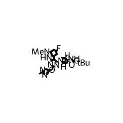 CNc1cc(F)cc2c1[nH]c1nc(Oc3cnc(C)nc3)nc(N3C[C@H]4C[C@@H]3C[C@H]4NC(=O)OC(C)(C)C)c12